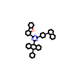 c1ccc(-c2c3ccccc3c(-c3nc(-c4ccc(-c5cccc6ccccc56)cc4)nc(-c4cccc5c4oc4ccccc45)n3)c3ccccc23)cc1